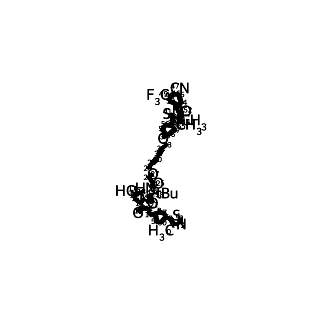 Cc1ncsc1-c1ccc(CCC(=O)[C@@H]2C[C@@H](O)CN2C(=O)[C@@H](NC(=O)COCC#CC#CCOc2ccc(N3C(=S)N(c4ccc(C#N)c(C(F)(F)F)c4)C(=O)C3(C)C)cc2)C(C)(C)C)cc1